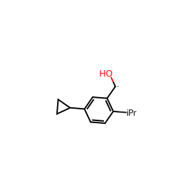 CC(C)c1ccc(C2CC2)cc1[CH]O